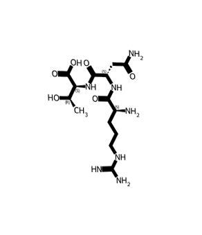 C[C@@H](O)[C@H](NC(=O)[C@H](CC(N)=O)NC(=O)[C@@H](N)CCCNC(=N)N)C(=O)O